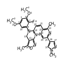 COc1cc(OC)c(F)c(N2Cc3c(noc3C)N=C2/C=C\c2ncc(-c3cnn(C)c3)nc2C)c1